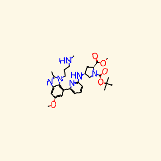 CNCCCn1c(C)nc2cc(OC)cc(-c3cccc(N[C@H]4C[C@@H](C(=O)OC)N(C(=O)OC(C)(C)C)C4)n3)c21